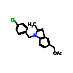 CC(=O)OCc1ccc2c(c1)cc(C)n2Cc1ccc(Cl)cc1